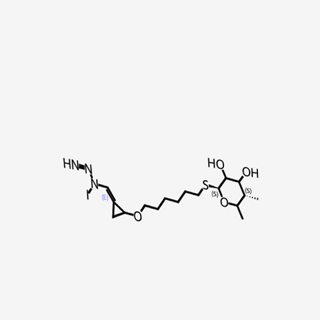 CC1O[C@@H](SCCCCCCOC2C/C2=C\N(I)N=N)C(O)C(O)[C@@H]1C